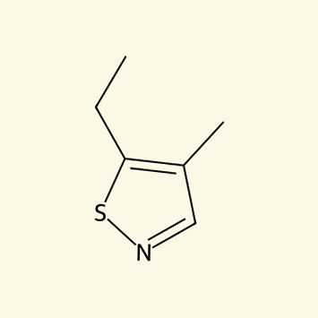 CCc1sncc1C